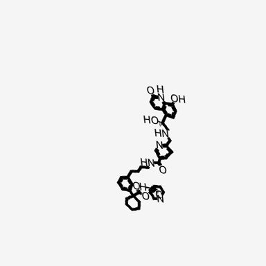 O=C(NCCCCc1cccc(C2(C(=O)O[C@H]3CN4CCC3CC4)CCCCC2)c1)c1ccc(CNC[C@H](O)c2ccc(O)c3[nH]c(=O)ccc23)nc1